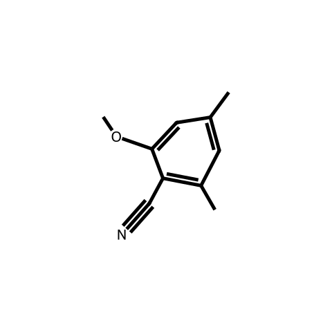 COc1cc(C)cc(C)c1C#N